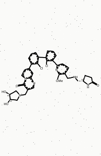 COc1nc(-c2cccc(-c3cccc(-c4ccn5c(=O)c(CN6C[C@@H](O)[C@@H](O)C6)cnc5c4)c3Cl)c2Cl)ccc1CNC[C@@H]1CCC(=O)N1